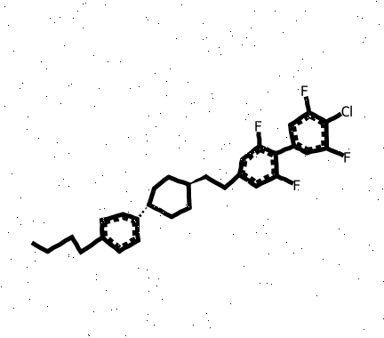 CCCCc1ccc([C@H]2CC[C@H](CCc3cc(F)c(-c4cc(F)c(Cl)c(F)c4)c(F)c3)CC2)cc1